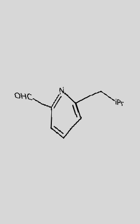 CC(C)Cc1cccc(C=O)n1